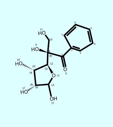 O=C(c1ccccc1)[C@@](O)(CO)[C@H]1OC(O)[C@H](O)[C@@H]1O